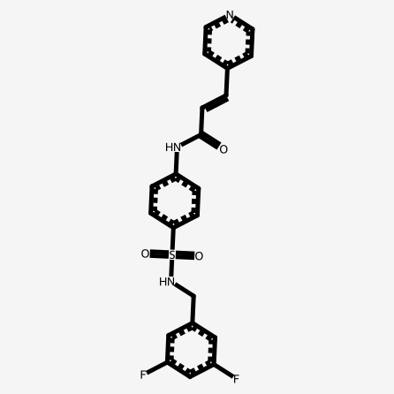 O=C(/C=C/c1ccncc1)Nc1ccc(S(=O)(=O)NCc2cc(F)cc(F)c2)cc1